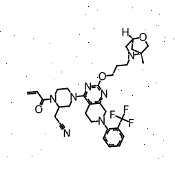 C=CC(=O)N1CCN(c2nc(OCCCN3C[C@H]4C[C@]3(C)CO4)nc3c2CCN(c2ccccc2C(F)(F)F)C3)CC1CC#N